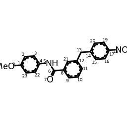 COc1ccc(NC(=O)c2cccc(Cc3ccc([N+](=O)[O-])cc3)c2)cc1